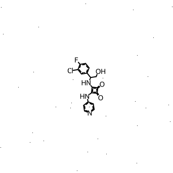 O=c1c(Nc2ccncc2)c(NC(CO)c2ccc(F)c(Cl)c2)c1=O